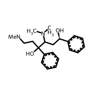 CNCCC(O)(c1ccccc1)C(C[C@@H](O)c1ccccc1)N(C)C